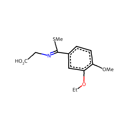 CCOc1cc(C(=NCC(=O)O)SC)ccc1OC